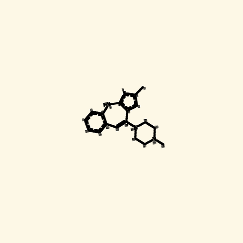 Cc1cc2c(s1)Nc1ccccc1C=C2N1CCN(C)CC1